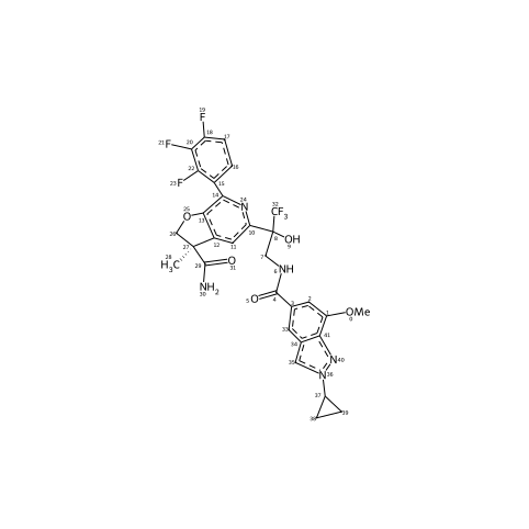 COc1cc(C(=O)NCC(O)(c2cc3c(c(-c4ccc(F)c(F)c4F)n2)OC[C@]3(C)C(N)=O)C(F)(F)F)cc2cn(C3CC3)nc12